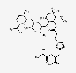 CN[C@@H]1[C@@H](OC(=O)CCn2cnc(CC(NC(=O)C(C)N)C(=O)O)c2)[C@@H](O[C@@H]2[C@@H](O)[C@H](O[C@H]3O[C@H]([C@@H](C)N)CC[C@H]3N)[C@@H](N)C[C@H]2N)OC[C@]1(C)O